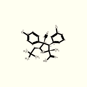 CC(C)(C)C[C@@H]1N[C@@](C)(C(=O)O)[C@H](c2cccc(Cl)c2)[C@@]1(C#N)c1ccc(Cl)cc1